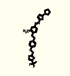 Cc1cc(/N=N/c2ccc(N3CCCC3)s2)ccc1/N=N/c1ccc(/N=N/c2nc(C(F)(F)F)cs2)cc1